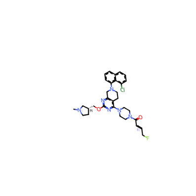 CN1CC[C@@H](COc2nc3c(c(N4CCN(C(=O)/C=C/CF)CC4)n2)CCN(c2cccc4cccc(Cl)c24)C3)C1